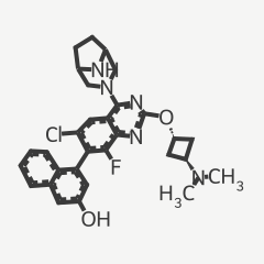 CN(C)[C@H]1C[C@H](Oc2nc(N3CC4CCC(C3)N4)c3cc(Cl)c(-c4cc(O)cc5ccccc45)c(F)c3n2)C1